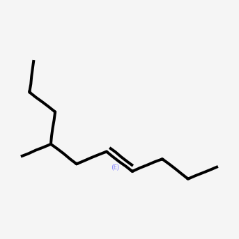 CCC/C=C/CC(C)CCC